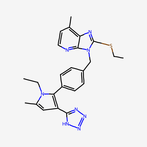 CCSc1nc2c(C)ccnc2n1Cc1ccc(-c2c(-c3nnn[nH]3)cc(C)n2CC)cc1